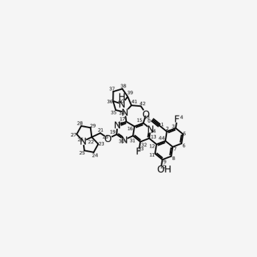 C#Cc1c(F)ccc2cc(O)cc(-c3nc4c5c(nc(OCC67CCCN6CCC7)nc5c3F)N3CC5CCC(N5)C3CO4)c12